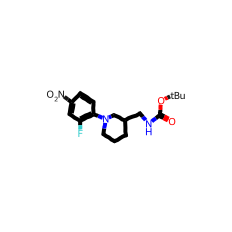 CC(C)(C)OC(=O)NCC1CCCN(c2ccc([N+](=O)[O-])cc2F)C1